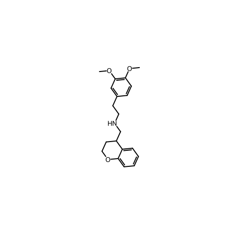 COc1ccc(CCNCC2CCOc3ccccc32)cc1OC